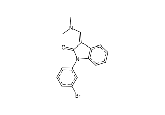 CN(C)C=C1C(=O)N(c2cccc(Br)c2)c2ccccc21